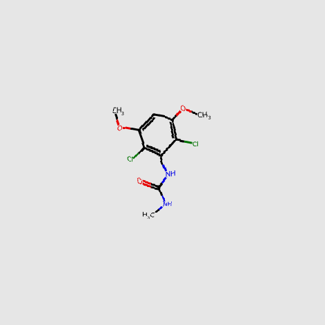 CNC(=O)Nc1c(Cl)c(OC)cc(OC)c1Cl